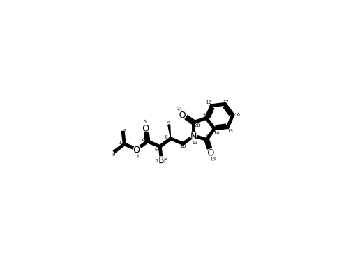 CC(C)OC(=O)C(Br)[C@@H](C)CN1C(=O)c2ccccc2C1=O